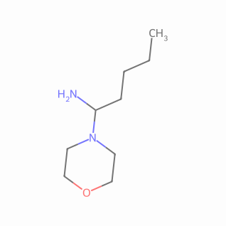 CCCCC(N)N1CCOCC1